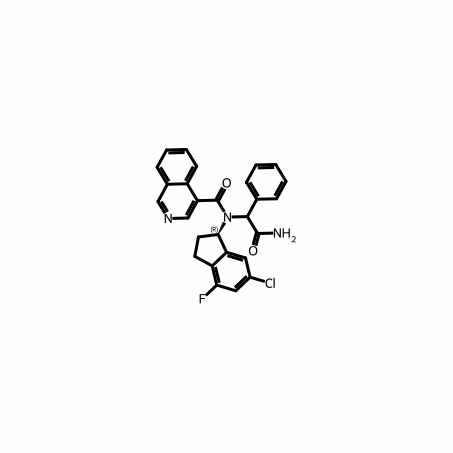 NC(=O)C(c1ccccc1)N(C(=O)c1cncc2ccccc12)[C@@H]1CCc2c(F)cc(Cl)cc21